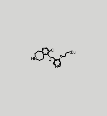 CC(C)(C)CCSc1ccncc1CNc1c(Cl)ccc2c1CCNCC2